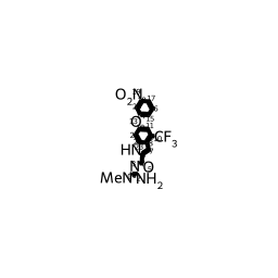 CNC(N)=NC(=O)c1cc2c(C(F)(F)F)cc(Oc3cccc([N+](=O)[O-])c3)cc2[nH]1